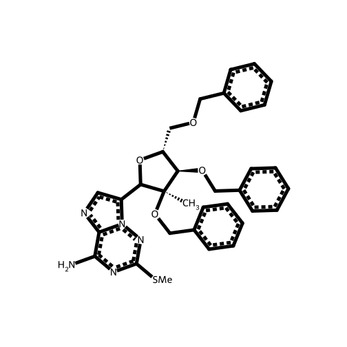 CSc1nc(N)c2ncc(C3O[C@H](COCc4ccccc4)[C@@H](OCc4ccccc4)[C@@]3(C)OCc3ccccc3)n2n1